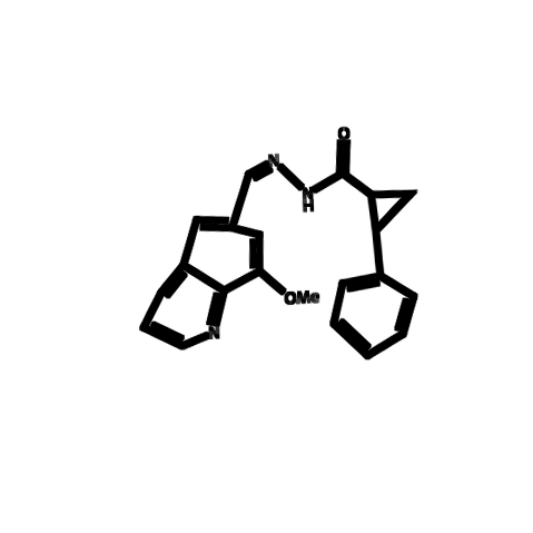 COc1cc(/C=N\NC(=O)C2CC2c2ccccc2)cc2cccnc12